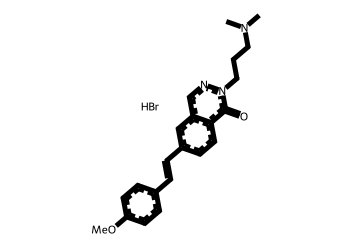 Br.COc1ccc(/C=C/c2ccc3c(=O)n(CCCN(C)C)ncc3c2)cc1